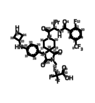 CC(C)[C@@H](NC(=O)c1cc(C(F)(F)F)ccc1F)C(=O)N1CCC2(CC1)C(=O)N(C)C(=O)N2c1ccc(NC2CNC2)cc1.O=C(O)C(F)(F)F